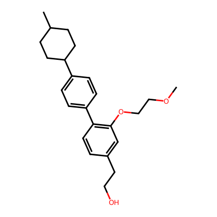 COCCOc1cc(CCO)ccc1-c1ccc(C2CCC(C)CC2)cc1